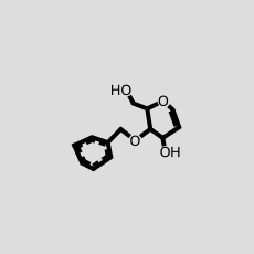 OCC1OC=CC(O)C1OCc1ccccc1